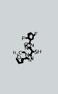 CCn1c(-c2ccco2)nnc1C(S)c1noc(-c2cc(F)ccc2F)n1